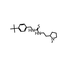 CN1CCCC1CCNC(=S)NCc1ccc(C(C)(C)C)cc1